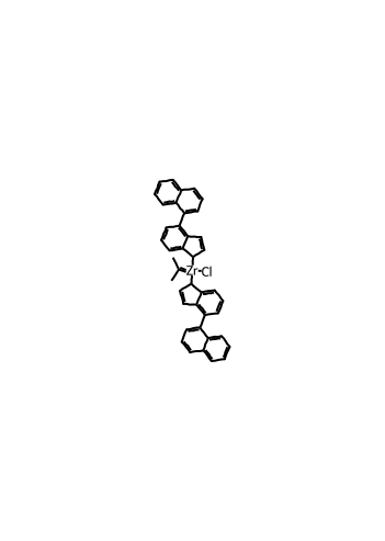 C[C](C)=[Zr]([Cl])([CH]1C=Cc2c(-c3cccc4ccccc34)cccc21)[CH]1C=Cc2c(-c3cccc4ccccc34)cccc21